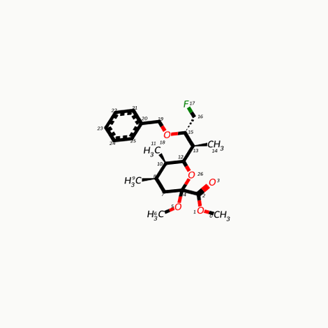 COC(=O)C1(OC)C[C@@H](C)[C@@H](C)C([C@H](C)[C@@H](CF)OCc2ccccc2)O1